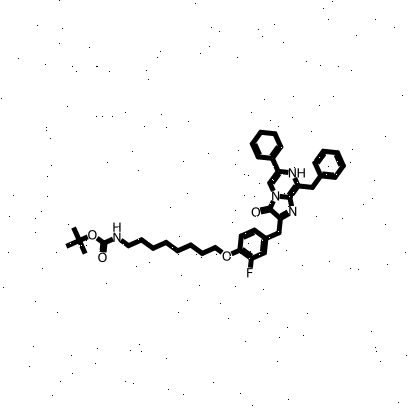 CC(C)(C)OC(=O)NCCCCCCCCOc1ccc(Cc2nc3c(Cc4ccccc4)[nH]c(C4=CCCC=C4)cn-3c2=O)cc1F